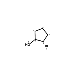 OC1CCCC1.[KH]